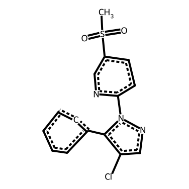 CS(=O)(=O)c1ccc(-n2ncc(Cl)c2-c2ccccc2)nc1